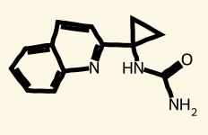 NC(=O)NC1(c2ccc3ccccc3n2)CC1